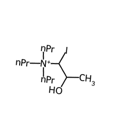 CCC[N+](CCC)(CCC)C(I)C(C)O